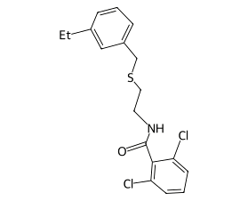 CCc1cccc(CSCCNC(=O)c2c(Cl)cccc2Cl)c1